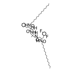 CCCCCCCCCCCCCCCC(=O)NC(CC(=O)NCC(C)(C)CNC(=O)C(O)C(Cc1ccccc1)NC(=O)CCCCCCCCCCCCCCC)Cc1cc(F)ccc1F